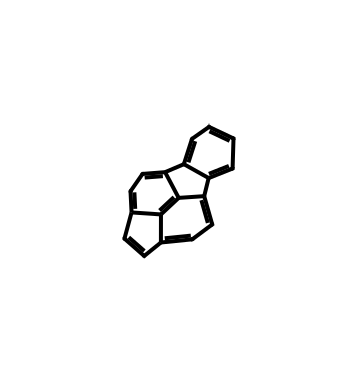 [c]1ccc2c(c1)-c1ccc3c4c(ccc-2c14)C=C3